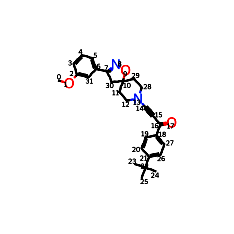 COc1cccc(C2=NOC3(CCN(C#CC(=O)c4ccc(C(C)(C)C)cc4)CC3)C2)c1